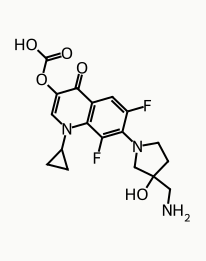 NCC1(O)CCN(c2c(F)cc3c(=O)c(OC(=O)O)cn(C4CC4)c3c2F)C1